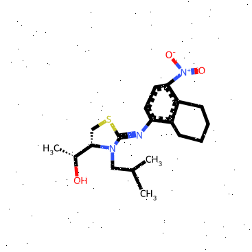 CC(C)CN1/C(=N/c2ccc([N+](=O)[O-])c3c2CCCC3)SC[C@H]1[C@@H](C)O